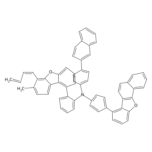 C=C/C=C\c1c(C)ccc2c1oc1cccc(-c3ccccc3N(c3ccc(-c4ccc5ccccc5c4)cc3)c3ccc(-c4cccc5oc6c7ccccc7ccc6c45)cc3)c12